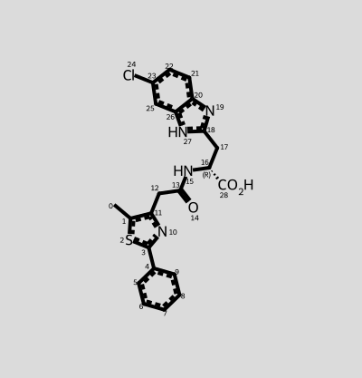 Cc1sc(-c2ccccc2)nc1CC(=O)N[C@H](Cc1nc2ccc(Cl)cc2[nH]1)C(=O)O